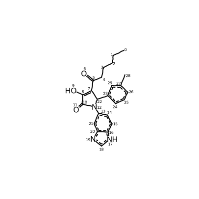 CCCCCC(=O)C1=C(O)C(=O)N(c2ccc3[nH]cnc3c2)C1c1cccc(C)c1